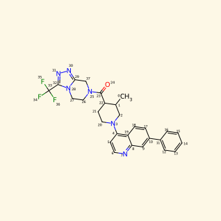 CC1CN(c2ccnc3cc(-c4ccccc4)ccc23)CCC1C(=O)N1CCn2c(nnc2C(F)(F)F)C1